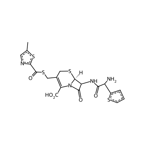 Cc1cnc(C(=O)SCC2=C(C(=O)O)N3C(=O)C(NC(=O)C(N)c4cccs4)[C@@H]3SC2)s1